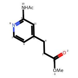 COC(=O)CCc1ccnc(NC(C)=O)c1